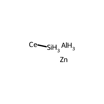 [AlH3].[SiH3][Ce].[Zn]